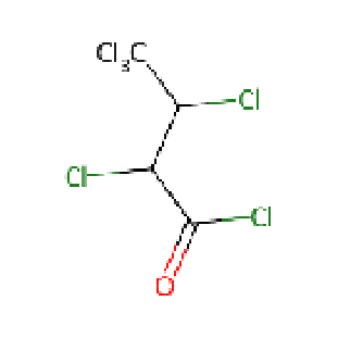 O=C(Cl)C(Cl)C(Cl)C(Cl)(Cl)Cl